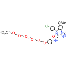 COc1ccc2c(c1)C(c1ccc(Cl)cc1)=N[C@@H](CC(=O)Nc1ccc(OCCOCCOCCOCCOCCOCCC(=O)O)cc1)c1nnc(C)n1-2